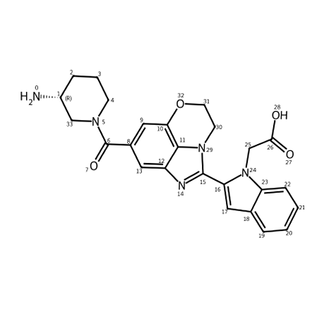 N[C@@H]1CCCN(C(=O)c2cc3c4c(c2)nc(-c2cc5ccccc5n2CC(=O)O)n4CCO3)C1